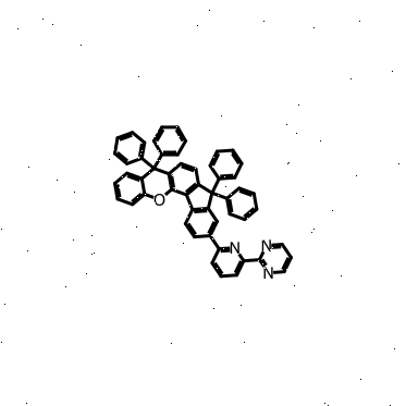 c1ccc(C2(c3ccccc3)c3ccccc3Oc3c2ccc2c3-c3ccc(-c4cccc(-c5ncccn5)n4)cc3C2(c2ccccc2)c2ccccc2)cc1